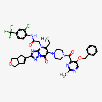 CCc1c(N2CCN(C(=O)c3nc(C)ncc3OCc3ccccc3)CC2)c(=O)n2nc(C3=CC4COCC4C3)nc2n1CC(=O)Nc1ccc(C(F)(F)F)cc1Cl